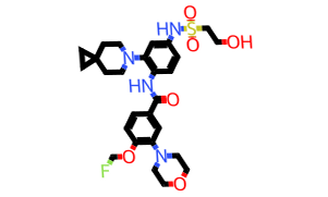 O=C(Nc1ccc(NS(=O)(=O)CCO)cc1N1CCC2(CC1)CC2)c1ccc(OCF)c(N2CCOCC2)c1